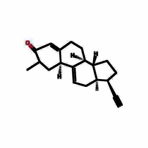 C#C[C@@H]1CC[C@H]2[C@@H]3CCC4=CC(=O)C(C)C[C@@H]4C3=CC[C@]12C